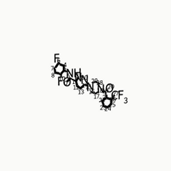 O=C(Nc1cc(F)ccc1F)c1ccc(N2CCN(C(=O)c3ccccc3C(F)(F)F)CC2)nn1